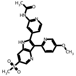 COc1ccc(-c2c(-c3ccnc(NC(C)=O)c3)[nH]c3cc(S(C)(=O)=O)cnc23)nc1